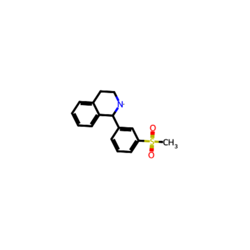 CS(=O)(=O)c1cccc(C2[N]CCc3ccccc32)c1